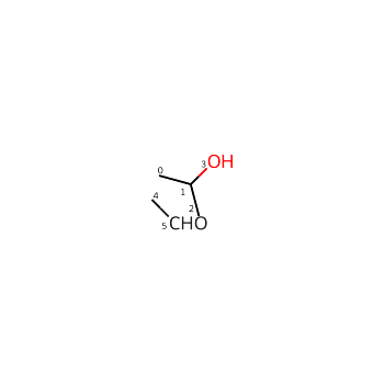 CC(C)O.CC=O